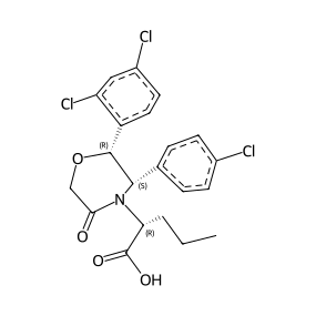 CCC[C@H](C(=O)O)N1C(=O)CO[C@H](c2ccc(Cl)cc2Cl)[C@@H]1c1ccc(Cl)cc1